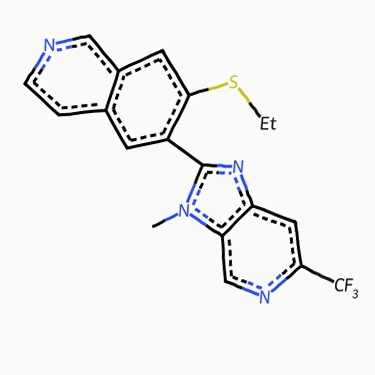 CCSc1cc2cnccc2cc1-c1nc2cc(C(F)(F)F)ncc2n1C